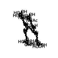 CC(=O)N[C@H]1[C@H](OCCCCCn2cc(CN(CCCC[C@@H](C(=O)O)N(Cc3cn(CCCCCO[C@@H]4O[C@H](CO)[C@H](O)[C@H](O)[C@H]4NC(C)=O)nn3)Cc3cn(CCCCCO[C@@H]4O[C@H](CO)[C@H](O)[C@H](O)[C@H]4NC(C)=O)nn3)Cc3cn(CCCCCO[C@@H]4O[C@H](CO)[C@H](O)[C@H](O)[C@H]4NC(C)=O)nn3)nn2)O[C@H](CO)[C@H](O)[C@@H]1O